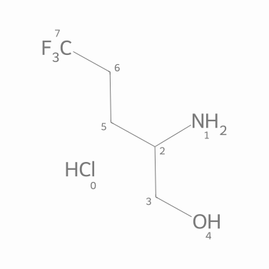 Cl.NC(CO)CCC(F)(F)F